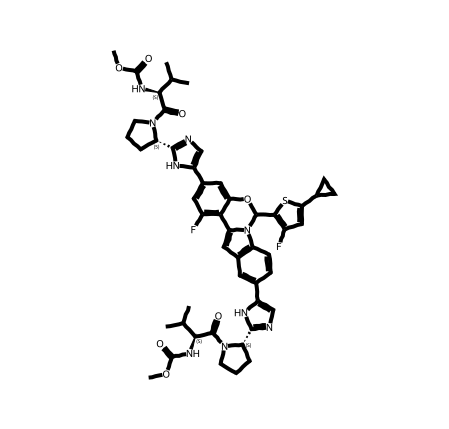 COC(=O)N[C@H](C(=O)N1CCC[C@H]1c1ncc(-c2cc(F)c3c(c2)OC(c2sc(C4CC4)cc2F)n2c-3cc3cc(-c4cnc([C@@H]5CCCN5C(=O)[C@@H](NC(=O)OC)C(C)C)[nH]4)ccc32)[nH]1)C(C)C